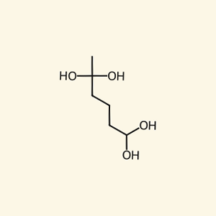 CC(O)(O)CCCC(O)O